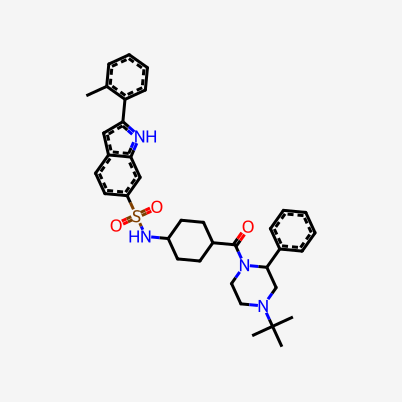 Cc1ccccc1-c1cc2ccc(S(=O)(=O)NC3CCC(C(=O)N4CCN(C(C)(C)C)CC4c4ccccc4)CC3)cc2[nH]1